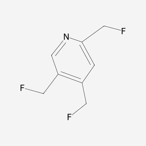 FCc1cc(CF)c(CF)cn1